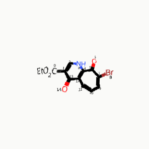 CCOC(=O)c1c[nH]c2c(=O)c(Br)cccc2c1=O